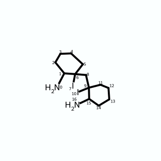 NC1CCCCC1(I)CC1(I)CCCCC1N